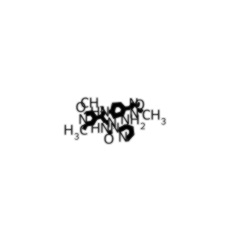 COc1cc(C(Nc2ccc(-c3noc(C)n3)cc2)c2nn(-c3ncccc3N)c(=O)[nH]2)cc(C)n1